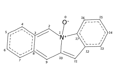 [O-][N+]12C=c3ccccc3=CC1=Cc1ccccc12